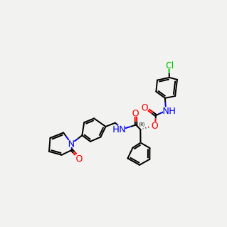 O=C(Nc1ccc(Cl)cc1)O[C@@H](C(=O)NCc1ccc(-n2ccccc2=O)cc1)c1ccccc1